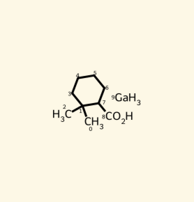 CC1(C)CCCCC1C(=O)O.[GaH3]